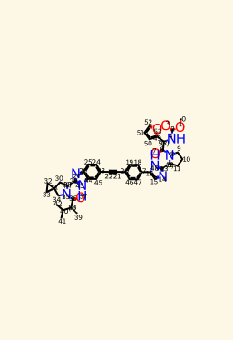 COC(=O)N[C@@H](C(=O)N1CCC[C@H]1c1ncc(-c2ccc(C#Cc3ccc4nc([C@@H]5CC6(CC6)CN5C(=O)[C@@H](C)C(C)C)[nH]c4c3)cc2)[nH]1)c1ccco1